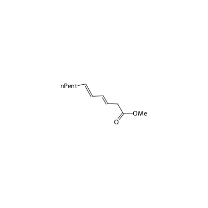 CCCCCC=CC=CCC(=O)OC